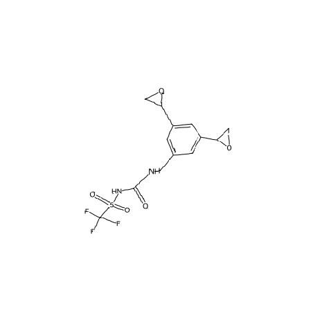 O=C(NCc1cc(C2CO2)cc(C2CO2)c1)NS(=O)(=O)C(F)(F)F